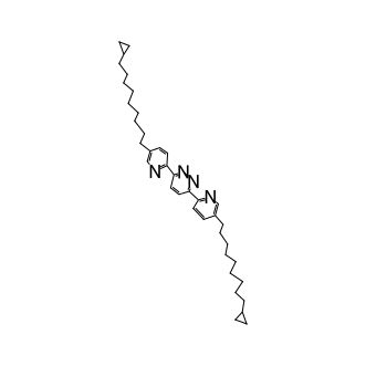 c1cc(-c2ccc(-c3ccc(CCCCCCCCCC4CC4)cn3)nn2)ncc1CCCCCCCCCC1CC1